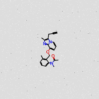 C#CCc1c(C)nc2c(OCc3c(C)cccc3N(C)C(C)=O)cccn12